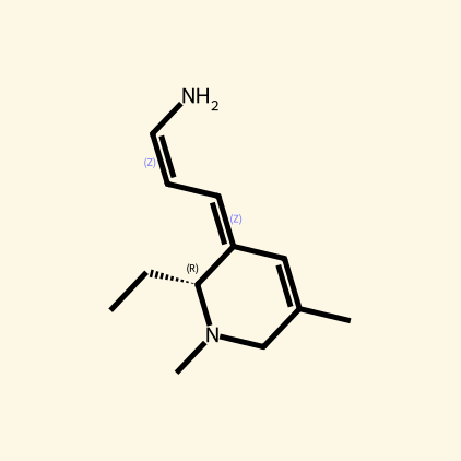 CC[C@@H]1/C(=C\C=C/N)C=C(C)CN1C